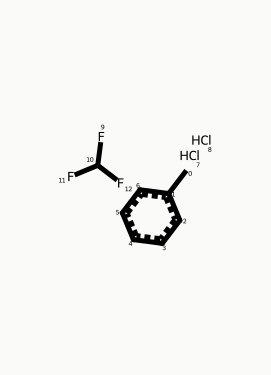 Cc1ccccc1.Cl.Cl.FC(F)F